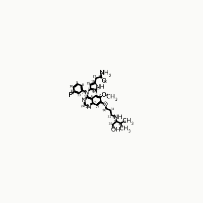 COc1cc2c(N(c3cccc(F)c3)c3cc(CC(N)=O)[nH]n3)ncnc2cc1OCCCNC(CO)C(C)C